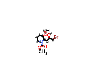 COC(=O)N1CCCC(OC)C1CC(=O)CBr